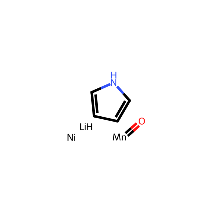 [LiH].[Ni].[O]=[Mn].c1cc[nH]c1